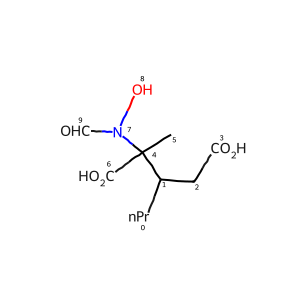 CCCC(CC(=O)O)C(C)(C(=O)O)N(O)C=O